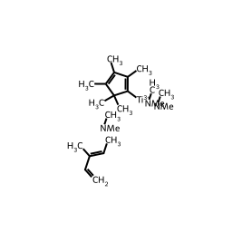 C=CC(C)=CC.CC1=C(C)C(C)(C)[C]([Ti+3])=C1C.C[N-]C.C[N-]C.C[N-]C